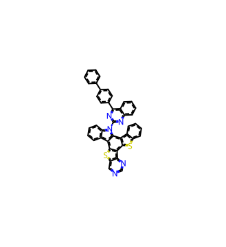 c1ccc(-c2ccc(-c3nc(-n4c5ccccc5c5c6sc7cncnc7c6c6sc7ccccc7c6c54)nc4ccccc34)cc2)cc1